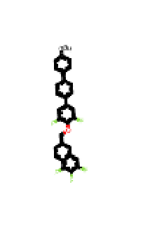 CCCCc1ccc(-c2ccc(-c3cc(F)c(OCc4ccc5c(F)c(F)c(F)cc5c4)c(F)c3)cc2)cc1